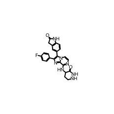 O=C1Cc2cc(-c3c(-c4ccc(F)cc4)nc4c(NC5CCNNC5=O)nccn34)ccc2N1